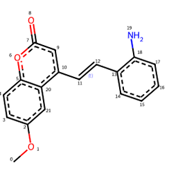 COc1ccc2oc(=O)cc(/C=C/c3ccccc3N)c2c1